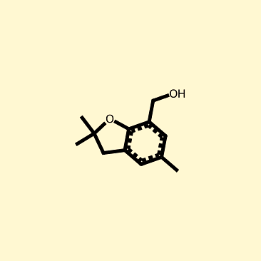 Cc1cc(CO)c2c(c1)CC(C)(C)O2